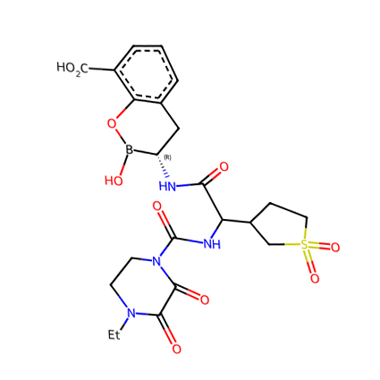 CCN1CCN(C(=O)NC(C(=O)N[C@H]2Cc3cccc(C(=O)O)c3OB2O)C2CCS(=O)(=O)C2)C(=O)C1=O